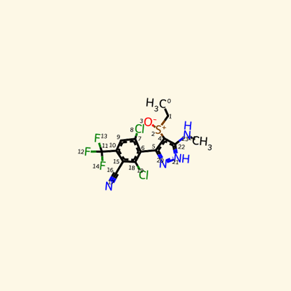 CC[S+]([O-])c1c(-c2c(Cl)cc(C(F)(F)F)c(C#N)c2Cl)n[nH]c1NC